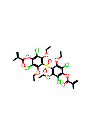 C=C(C)C(=O)Oc1c(Cl)c(OCC)c(S(=O)(=O)c2c(OCC)c(Cl)c(OC(=O)C(=C)C)c(Cl)c2OCC)c(OCC)c1Cl